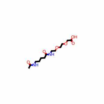 CC(=O)NCCCCC(=O)NCCOCCOCC(=O)O